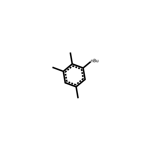 CCCCc1cc(C)cc(C)c1C